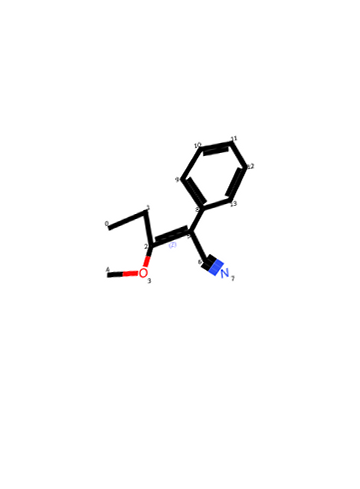 CC/C(OC)=C(/C#N)c1ccccc1